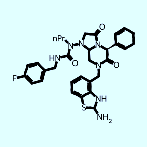 CCCN(C(=O)NCc1ccc(F)cc1)N1CC(=O)N2C1CN(Cc1cccc3c1NC(N)S3)C(=O)[C@@H]2C1=CCCC=C1